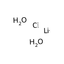 O.O.[C].[Li]